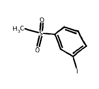 CS(=O)(=O)c1[c]ccc(I)c1